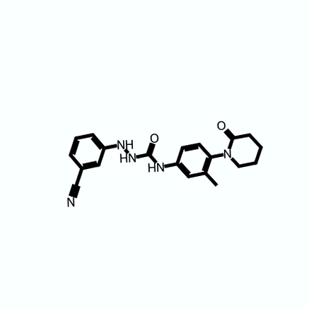 Cc1cc(NC(=O)NNc2cccc(C#N)c2)ccc1N1CCCCC1=O